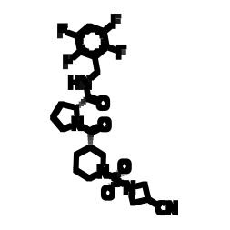 N#CC1CN(S(=O)(=O)N2CCC[C@H](C(=O)N3CCC[C@@H]3C(=O)NCc3c(F)c(F)cc(F)c3F)C2)C1